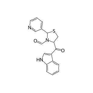 O=CN1C(C(=O)c2c[nH]c3ccccc23)CSC1c1cccnc1